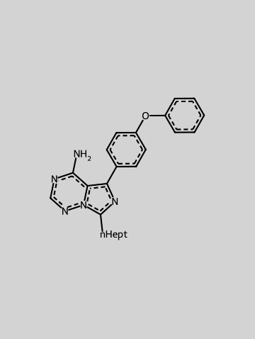 CCCCCCCc1nc(-c2ccc(Oc3ccccc3)cc2)c2c(N)ncnn12